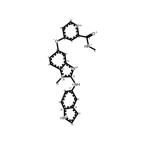 CNC(=O)c1cc(Oc2ccc3c(c2)nc(Nc2ccc4[nH]ccc4c2)n3C)ccn1